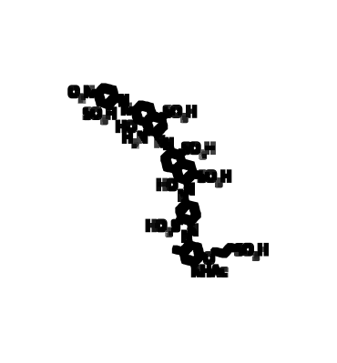 CC(=O)Nc1cc(C)c(N=Nc2ccc(N=Nc3c(S(=O)(=O)O)cc4c(S(=O)(=O)O)c(N=Nc5cc(S(=O)(=O)O)c6ccc(N=Nc7ccc([N+](=O)[O-])cc7S(=O)(=O)O)c(O)c6c5N)ccc4c3O)cc2S(=O)(=O)O)cc1OCCCS(=O)(=O)O